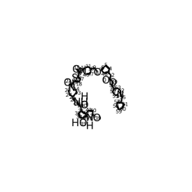 O=C(Cc1cccc(OCC2CCN(C(=O)c3ccc(C(=O)N4CCC(CNCC(O)c5ccc(O)c6[nH]c(=O)ccc56)CC4)s3)CC2)c1)OCC1CCN(Cc2ccccc2)CC1